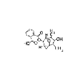 CC1C(O)C(C)C23C[C@@H]2[C@@H](OC(=O)c2ccccc2C(=O)O)[C@H]1O3